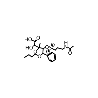 CCCC(=O)OC(c1ccccc1)C(OS(=O)(=O)CCCNC(C)=O)C(C)(C)[C@@H](O)C(=O)O